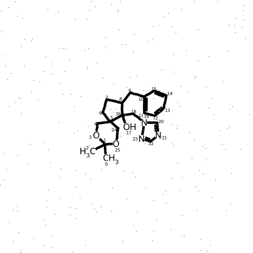 CC1(C)OCC2(CCC(Cc3ccccc3)C2(O)Cn2cncn2)CO1